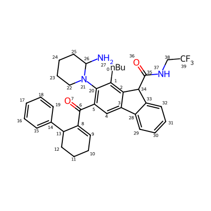 CCCCc1c2c(cc(C(=O)C3=CCCCC3c3ccccc3)c1N1CCCCC1N)-c1ccccc1C2C(=O)NCC(F)(F)F